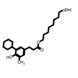 CCCCCCCCCCCCCCCCCCOC(=O)CCc1cc(C)c(O)c(C2CCCCC2)c1